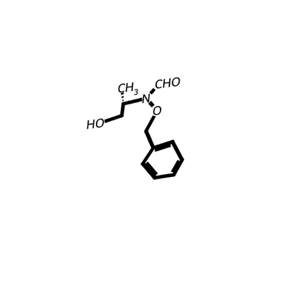 C[C@@H](CO)N(C=O)OCc1ccccc1